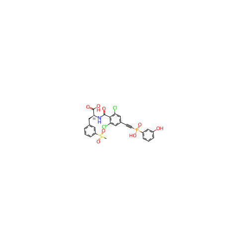 CS(=O)(=O)c1cccc(C[C@H](NC(=O)c2c(Cl)cc(C#CP(=O)(O)c3cccc(O)c3)cc2Cl)C(=O)O)c1